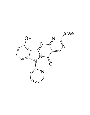 CSc1ncc2c(=O)n3c(nc2n1)c1c(O)cccc1n3-c1ccccn1